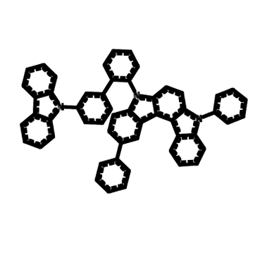 c1ccc(-c2ccc3c(c2)c2c4c5ccccc5n(-c5ccccc5)c4ccc2n3-c2ccccc2-c2cccc(-n3c4ccccc4c4ccccc43)c2)cc1